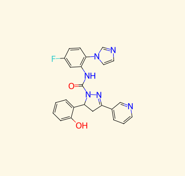 O=C(Nc1cc(F)ccc1-n1ccnc1)N1N=C(c2cccnc2)CC1c1ccccc1O